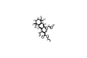 CCOC(=O)C(F)=C(CC)c1cc2c(cc1OCOC)C(C)(C)CCC2(C)C